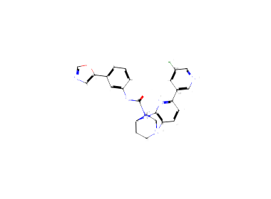 O=C(Nc1cccc(-c2cnco2)c1)N1c2nc(-c3cncc(Cl)c3)ccc2N2CCC1CC2